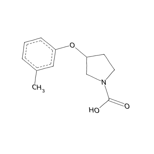 Cc1cccc(OC2CCN(C(=O)O)C2)c1